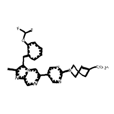 Cc1nc2cnc(-c3cnc(N4CC5(CC(C(=O)O)C5)C4)nc3)cn2c1Cc1ccccc1OC(F)F